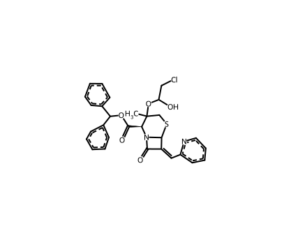 CC1(OC(O)CCl)CSC2/C(=C\c3ccccn3)C(=O)N2[C@H]1C(=O)OC(c1ccccc1)c1ccccc1